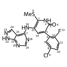 CSc1[nH]c(=O)c(-c2cc(Cl)ccc2F)cc1Nc1ncnc2[nH]ncc12